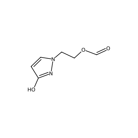 O=COCCn1ccc(O)n1